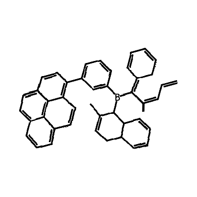 C=C/C=C(C)\C(B(c1cccc(-c2ccc3ccc4cccc5ccc2c3c45)c1)C1C(C)=CCC2C=CC=CC21)=C1\C=CC=CC1